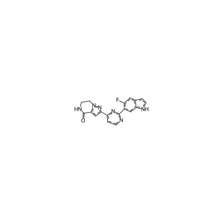 O=C1NCCn2nc(-c3ccnc(-c4cc5[nH]ccc5cc4F)n3)cc21